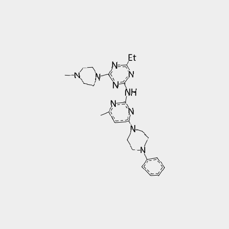 CCc1nc(Nc2nc(C)cc(N3CCN(c4ccccc4)CC3)n2)nc(N2CCN(C)CC2)n1